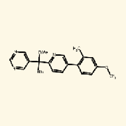 COC(c1cncnc1)(c1ccc(-c2ccc(OC(F)(F)F)cc2C)cn1)C(C)(C)C